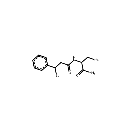 CCC(CC(=O)NC(CC(C)(C)C)C(N)=O)c1ccccc1